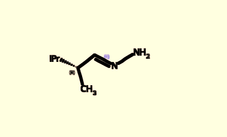 CC(C)[C@@H](C)/C=N/N